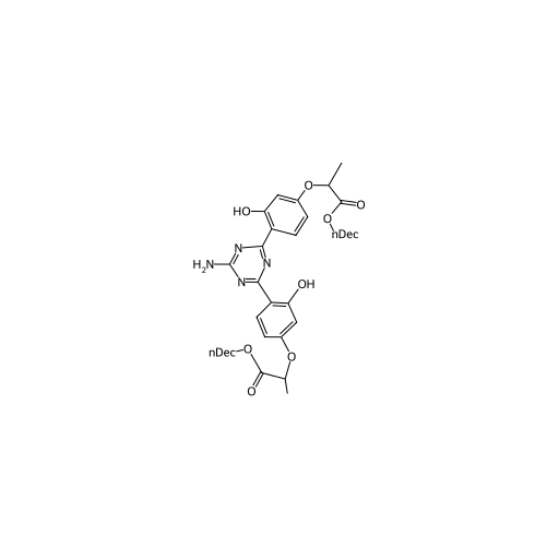 CCCCCCCCCCOC(=O)C(C)Oc1ccc(-c2nc(N)nc(-c3ccc(OC(C)C(=O)OCCCCCCCCCC)cc3O)n2)c(O)c1